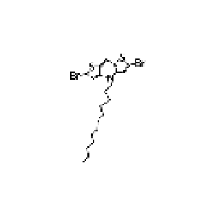 CCCCCCCCCCCCN1C2=CC(Br)SC2=Cc2sc(Br)cc21